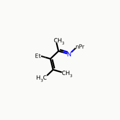 CCC/N=C(\C)C(CC)=C(C)C